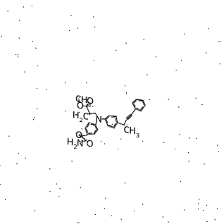 C=C(CN(c1ccc(C(C)C#Cc2ccccc2)cc1)c1ccc(S(N)(=O)=O)cc1)C(=O)OC